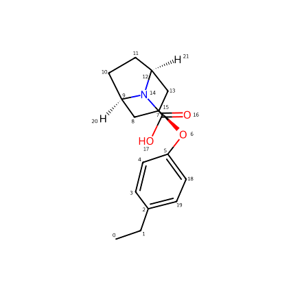 CCc1ccc(O[C@H]2C[C@H]3CC[C@@H](C2)N3C(=O)O)cc1